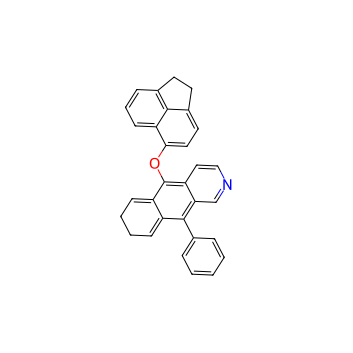 C1=c2c(Oc3ccc4c5c(cccc35)CC4)c3ccncc3c(-c3ccccc3)c2=CCC1